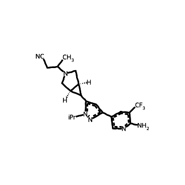 CC(CC#N)N1C[C@@H]2C(c3cc(-c4cnc(N)c(C(F)(F)F)c4)nn3C(C)C)[C@@H]2C1